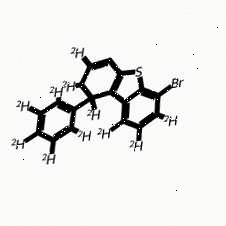 [2H]C1=Cc2sc3c(Br)c([2H])c([2H])c([2H])c3c2C([2H])(c2c([2H])c([2H])c([2H])c([2H])c2[2H])C1[2H]